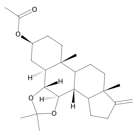 C=C1CCC2[C@H]3C(CC[C@]12C)[C@@]1(C)CC[C@H](OC(C)=O)C[C@@H]1[C@H]1OC(C)(C)O[C@H]31